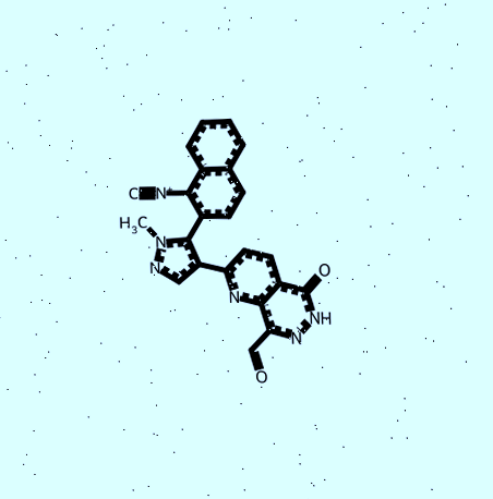 [C-]#[N+]c1c(-c2c(-c3ccc4c(=O)[nH]nc(C=O)c4n3)cnn2C)ccc2ccccc12